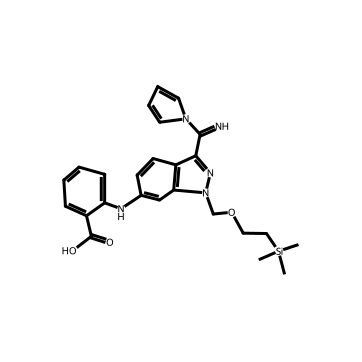 C[Si](C)(C)CCOCn1nc(C(=N)n2cccc2)c2ccc(Nc3ccccc3C(=O)O)cc21